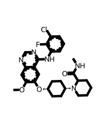 CNC(=O)C1CCCCN1[C@H]1CC[C@@H](Oc2cc3c(Nc4cccc(Cl)c4F)ncnc3cc2OC)CC1